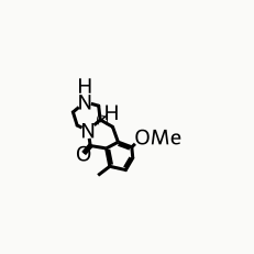 COc1ccc(C)c2c1C[C@@H]1CNCCN1C2=O